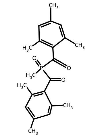 Cc1cc(C)c(C(=O)P(C)(=O)C(=O)c2c(C)cc(C)cc2C)c(C)c1